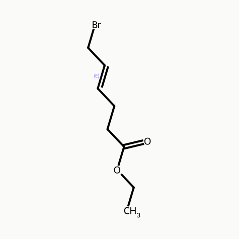 CCOC(=O)CC/C=C/CBr